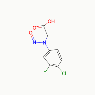 O=NN(CC(=O)O)c1ccc(Cl)c(F)c1